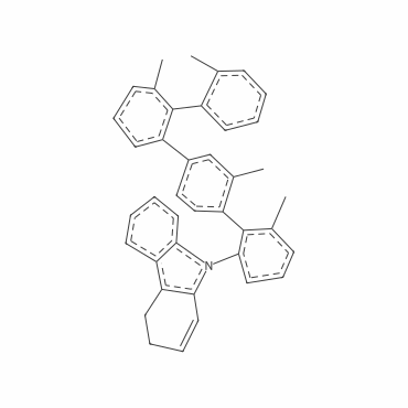 Cc1ccccc1-c1c(C)cccc1-c1ccc(-c2c(C)cccc2-n2c3c(c4ccccc42)CCC=C3)c(C)c1